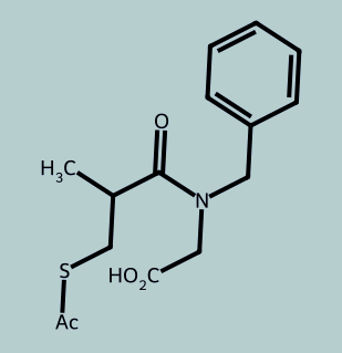 CC(=O)SCC(C)C(=O)N(CC(=O)O)Cc1ccccc1